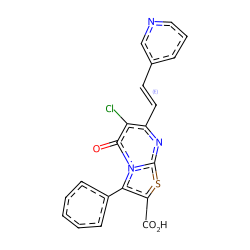 O=C(O)c1sc2nc(/C=C/c3cccnc3)c(Cl)c(=O)n2c1-c1ccccc1